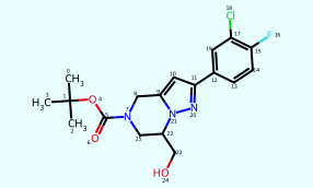 CC(C)(C)OC(=O)N1Cc2cc(-c3ccc(F)c(Cl)c3)nn2C(CO)C1